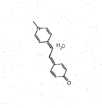 CN1C=CC(=CC=C2C=CC(=O)C=C2)C=C1.O